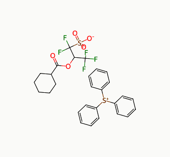 O=C(OC(C(F)(F)F)C(F)(F)S(=O)(=O)[O-])C1CCCCC1.c1ccc([S+](c2ccccc2)c2ccccc2)cc1